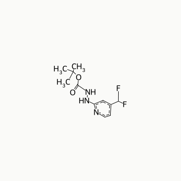 CC(C)(C)OC(=O)NNc1cc(C(F)F)ccn1